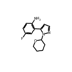 Nc1ccc(F)cc1-c1ccnn1C1CCCCO1